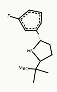 COC(C)(C)C1CC[C@@H](c2cccc(F)c2)N1